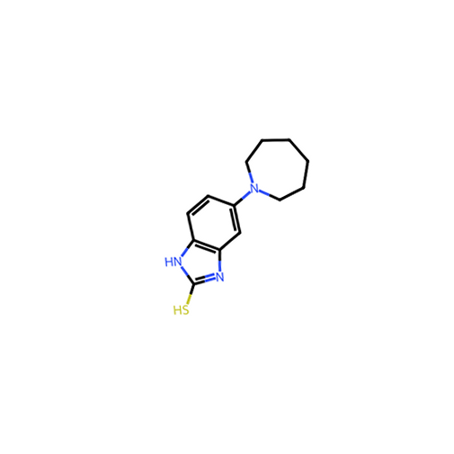 Sc1nc2cc(N3CCCCCC3)ccc2[nH]1